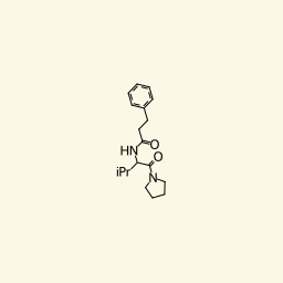 CC(C)C(NC(=O)CCc1ccccc1)C(=O)N1CCCC1